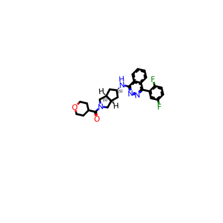 O=C(C1CCOCC1)N1C[C@H]2C[C@H](Nc3nnc(-c4cc(F)ccc4F)c4ccccc34)C[C@H]2C1